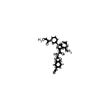 C=CC(=O)N1CCCC(n2nc(C(=O)Nc3nc4cc(C#N)ccc4o3)c3c(N)ncnc32)C1